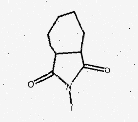 O=C1C2CCCCC2C(=O)N1I